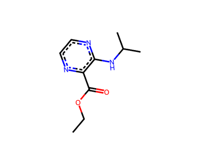 CCOC(=O)c1nccnc1NC(C)C